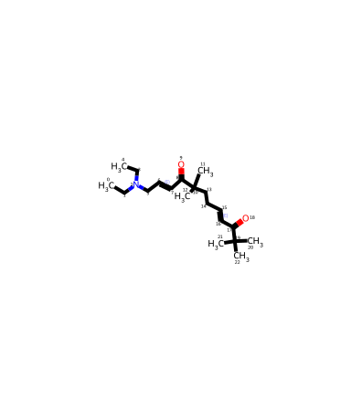 CCN(CC)C/C=C/C(=O)C(C)(C)CC/C=C/C(=O)C(C)(C)C